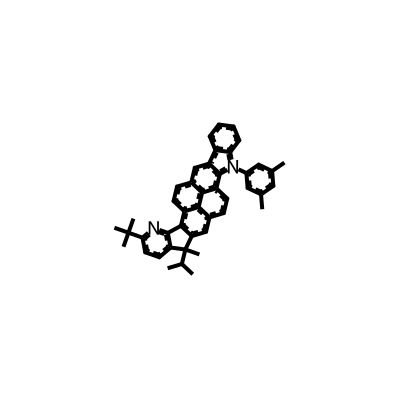 Cc1cc(C)cc(-n2c3ccccc3c3cc4ccc5c6c(cc7ccc(c4c75)c32)C(C)(C(C)C)c2ccc(C(C)(C)C)nc2-6)c1